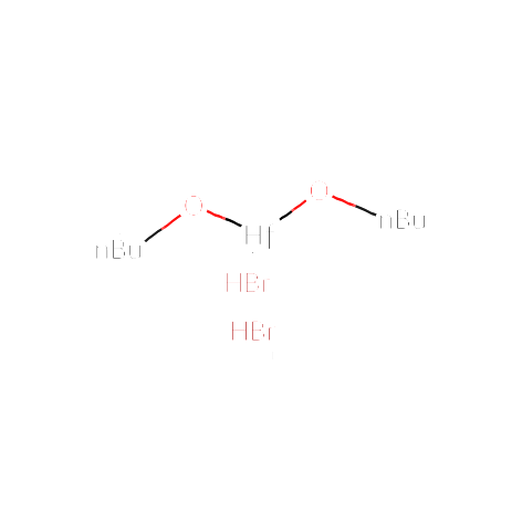 Br.Br.CCCC[O][Hf][O]CCCC